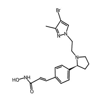 Cc1nn(CCN2CCC[C@H]2c2ccc(C=CC(=O)NO)cc2)cc1Br